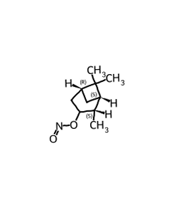 C[C@@H]1C(ON=O)C[C@H]2C[C@@H]1C2(C)C